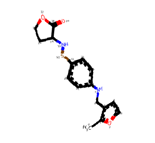 Cc1occc1CNc1ccc(SNC2CCOC2=O)cc1